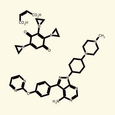 CN1CCN(C2CCC(n3nc(-c4ccc(Oc5ncccn5)cc4)c4c(N)ncnc43)CC2)CC1.O=C(O)/C=C\C(=O)O.O=C1C=C(N2CC2)C(=O)C(N2CC2)=C1N1CC1